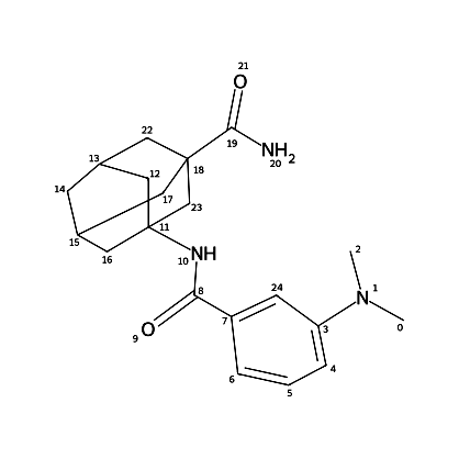 CN(C)c1cccc(C(=O)NC23CC4CC(C2)CC(C(N)=O)(C4)C3)c1